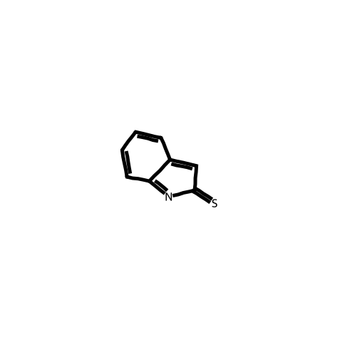 S=C1C=c2ccccc2=N1